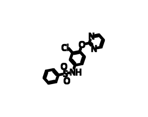 O=S(=O)(Nc1ccc(Oc2ncccn2)c(Cl)c1)c1ccccc1